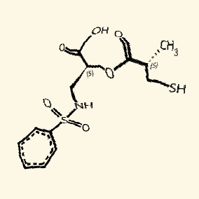 C[C@H](CS)C(=O)O[C@@H](CNS(=O)(=O)c1ccccc1)C(=O)O